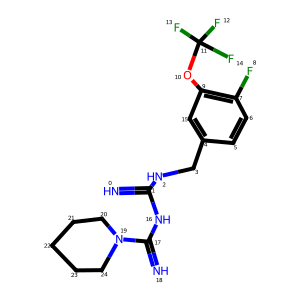 N=C(NCc1ccc(F)c(OC(F)(F)F)c1)NC(=N)N1CCCCC1